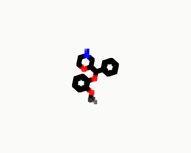 FC(F)(F)Oc1ccccc1OC(c1ccccc1)C1CNCCO1